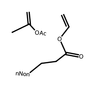 C=C(C)OC(C)=O.C=COC(=O)CCCCCCCCCCC